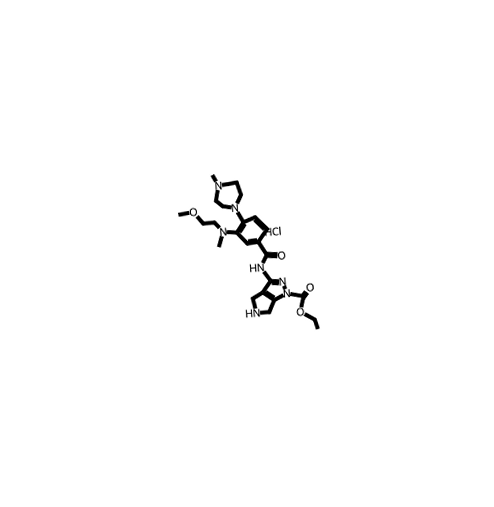 CCOC(=O)n1nc(NC(=O)c2ccc(N3CCN(C)CC3)c(N(C)CCOC)c2)c2c1CNC2.Cl